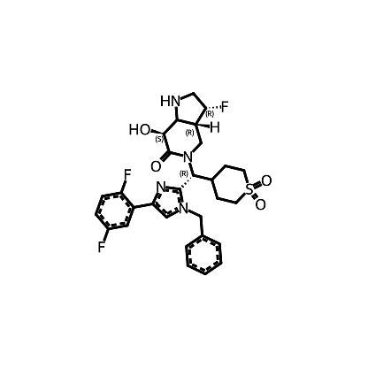 O=C1[C@@H](O)C2NC[C@H](F)[C@@H]2CN1[C@@H](c1nc(-c2cc(F)ccc2F)cn1Cc1ccccc1)C1CCS(=O)(=O)CC1